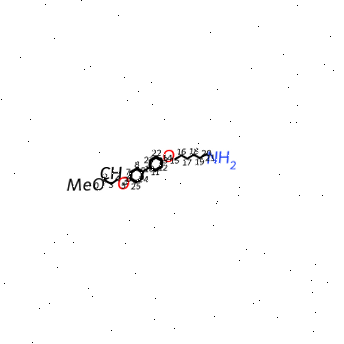 COC(C)CCOc1ccc(-c2ccc(OCCCCCCN)cc2)cc1